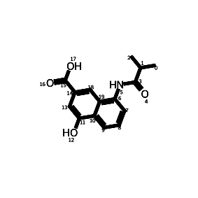 CC(C)C(=O)Nc1cccc2c(O)cc(C(=O)O)cc12